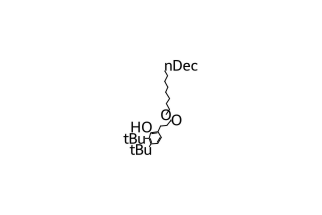 CCCCCCCCCCCCCCCCCCOC(=O)CCc1ccc(C(C)(C)C)c(C(C)(C)C)c1O